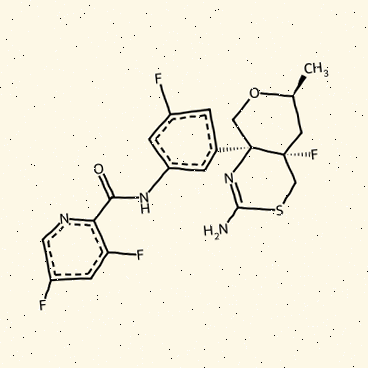 C[C@H]1C[C@@]2(F)CSC(N)=N[C@@]2(c2cc(F)cc(NC(=O)c3ncc(F)cc3F)c2)CO1